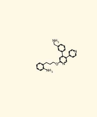 NCc1cccc(-c2cc(OCCCc3ccccc3N)ncc2-c2ccncc2)c1